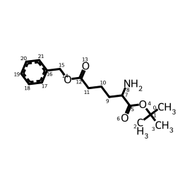 CC(C)(C)OC(=O)C(N)CCCC(=O)OCc1ccccc1